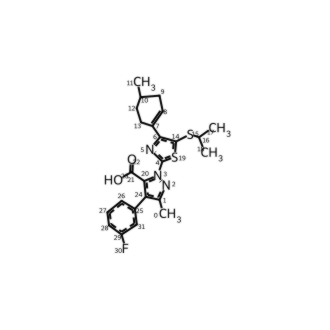 Cc1nn(-c2nc(C3=CCC(C)CC3)c(SC(C)C)s2)c(C(=O)O)c1-c1cccc(F)c1